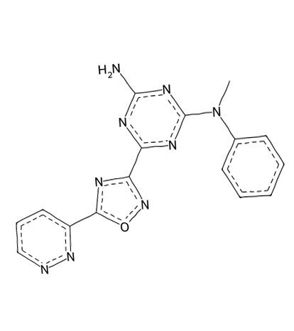 CN(c1ccccc1)c1nc(N)nc(-c2noc(-c3cccnn3)n2)n1